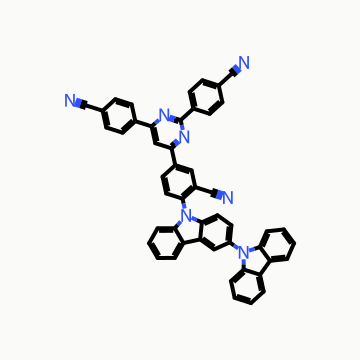 N#Cc1ccc(-c2cc(-c3ccc(-n4c5ccccc5c5cc(-n6c7ccccc7c7ccccc76)ccc54)c(C#N)c3)nc(-c3ccc(C#N)cc3)n2)cc1